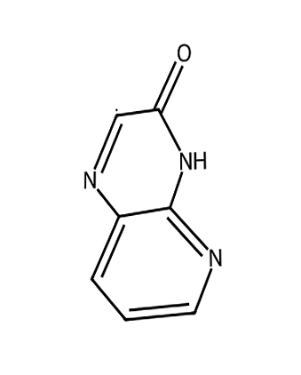 O=c1[c]nc2cccnc2[nH]1